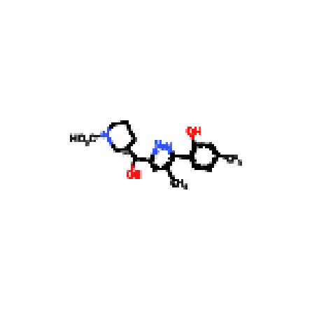 Cc1cc(C(O)[C@@H]2CCCN(C(=O)O)C2)nnc1-c1ccc(C(F)(F)F)cc1O